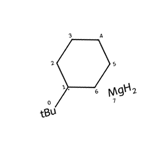 CC(C)(C)[C]1CCCCC1.[MgH2]